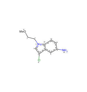 COCCn1cc(Cl)c2cc(N)ccc21